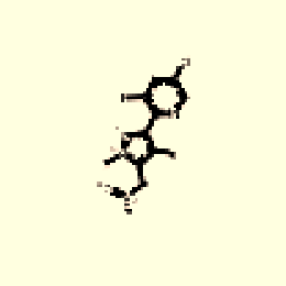 Cc1c(-c2ncc(Cl)cc2F)nn(C)c1C[SH](=O)=O